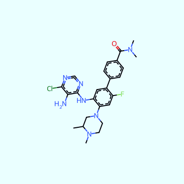 CC1CN(c2cc(F)c(-c3ccc(C(=O)N(C)C)cc3)cc2Nc2ncnc(Cl)c2N)CCN1C